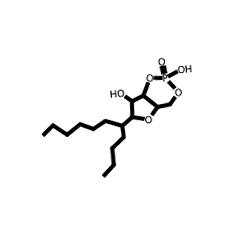 CCCCCCC(CCCC)C1OC2COP(=O)(O)OC2C1O